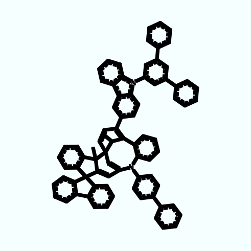 CC1C2=C(c3ccc4c(c3)c3ccccc3n4-c3cc(-c4ccccc4)cc(-c4ccccc4)c3)C=CC13C=C(C=C1C4(c5ccccc5-c5ccccc54)c4ccccc4C13C)N(c1ccc(-c3ccccc3)cc1)c1ccccc12